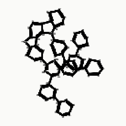 c1ccc(-c2cccc(-c3ccc(-n4c5ccccc5c5ccc6oc7ccc(-c8nc(-c9cccc(-c%10ccccc%10)c9)nc(-c9cccc(-c%10ccccc%10)c9)n8)cc7c6c54)cc3)c2)cc1